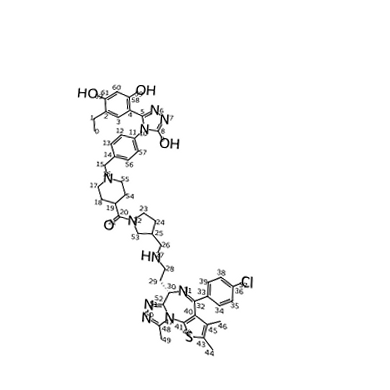 CCc1cc(-c2nnc(O)n2-c2ccc(CN3CCC(C(=O)N4CCC(CNCC[C@@H]5N=C(c6ccc(Cl)cc6)c6c(sc(C)c6C)-n6c(C)nnc65)C4)CC3)cc2)c(O)cc1O